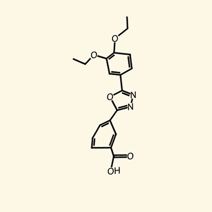 CCOc1ccc(-c2nnc(-c3cccc(C(=O)O)c3)o2)cc1OCC